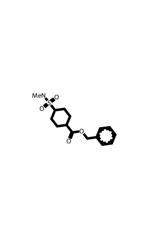 CNS(=O)(=O)C1CCC(C(=O)OCc2ccccc2)CC1